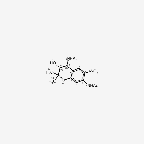 CC(=O)Nc1cc2c(cc1[N+](=O)[O-])[C@H](NC(C)=O)[C@@H](O)C(C)(C)O2